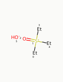 CC[S+](=O)(CC)CC.[OH-]